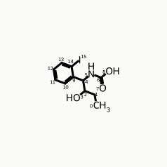 CCC(O)C(NC(=O)O)c1ccccc1I